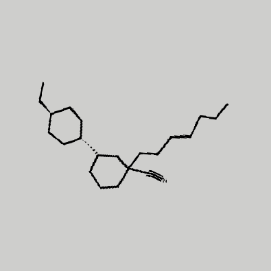 CCCCCCCC1(C#N)CCCC([C@H]2CC[C@H](CC)CC2)C1